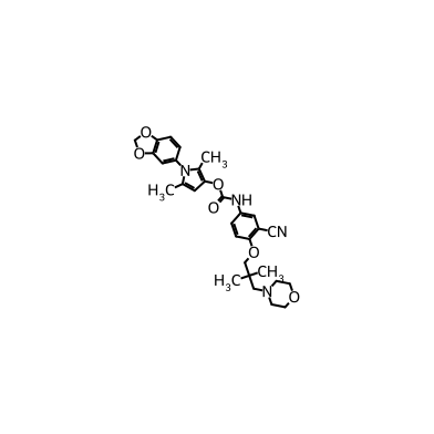 Cc1cc(OC(=O)Nc2ccc(OCC(C)(C)CN3CCOCC3)c(C#N)c2)c(C)n1-c1ccc2c(c1)OCO2